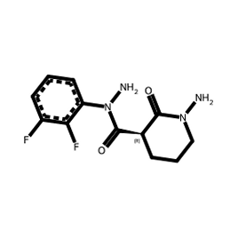 NN1CCC[C@@H](C(=O)N(N)c2cccc(F)c2F)C1=O